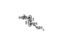 CCC(C)(C(=O)NCCCN)C(C)(CC)C(=O)NCC(C)O